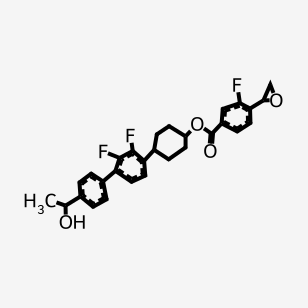 CC(O)c1ccc(-c2ccc(C3CCC(OC(=O)c4ccc(C5CO5)c(F)c4)CC3)c(F)c2F)cc1